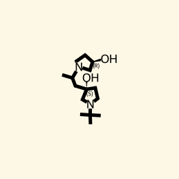 CC(C[C@@]1(O)CCN(C(C)(C)C)C1)N1CC[C@@H](O)C1